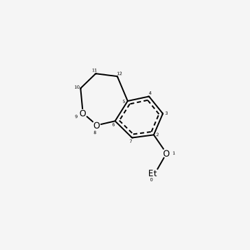 [CH2]COc1ccc2c(c1)OOCCC2